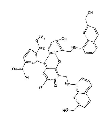 COC(=O)c1ccc(C(=O)O)cc1-c1c2cc(Cl)c(=O)c(CNc3cccc4ccc(CO)nc34)c-2oc2c(CNc3cccc4ccc(CO)nc34)c(O)ccc12